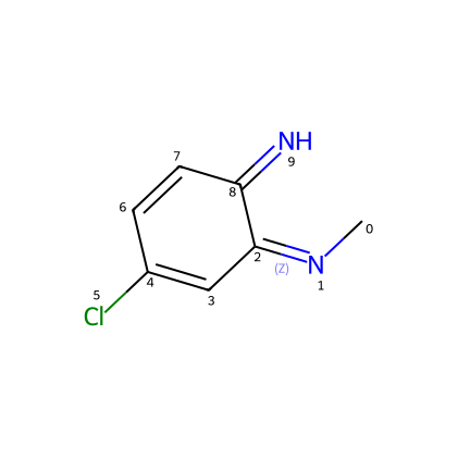 C/N=C1/C=C(Cl)C=CC1=N